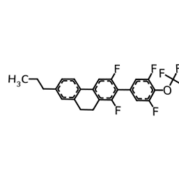 CCCc1ccc2c(c1)CCc1c-2cc(F)c(-c2cc(F)c(OC(F)(F)F)c(F)c2)c1F